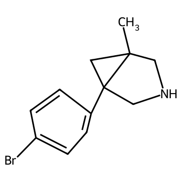 CC12CNCC1(c1ccc(Br)cc1)C2